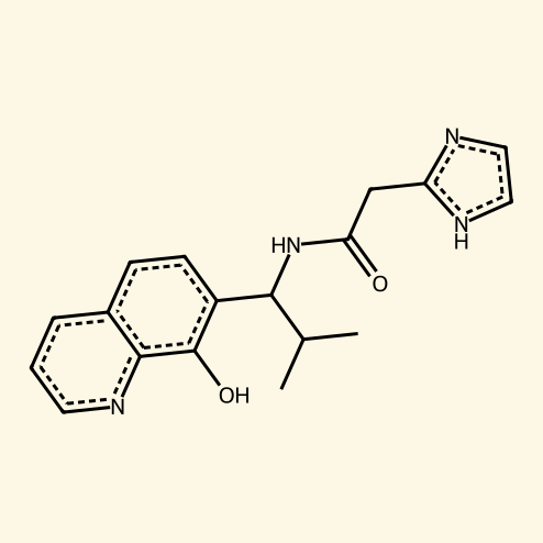 CC(C)C(NC(=O)Cc1ncc[nH]1)c1ccc2cccnc2c1O